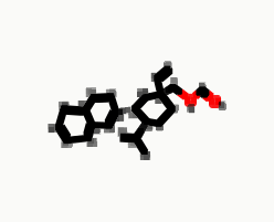 C=C[C@]1(COC=O)CC[C@@H](C(=C)C)[C@H](c2ccc3ccccc3c2)C1